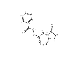 O=C(CSC(=O)c1ccccc1)ON1C(=O)CCC1=O